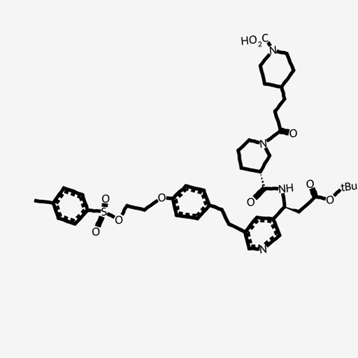 Cc1ccc(S(=O)(=O)OCCOc2ccc(CCc3cncc([C@H](CC(=O)OC(C)(C)C)NC(=O)[C@@H]4CCCN(C(=O)CCC5CCN(C(=O)O)CC5)C4)c3)cc2)cc1